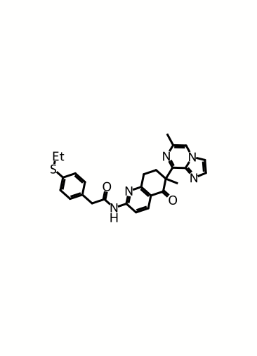 CCSc1ccc(CC(=O)Nc2ccc3c(n2)CCC(C)(c2nc(C)cn4ccnc24)C3=O)cc1